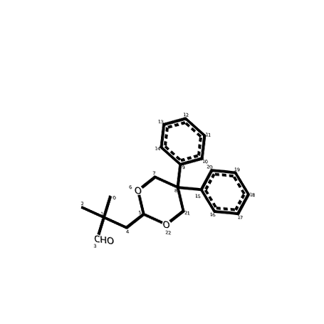 CC(C)(C=O)CC1OCC(c2ccccc2)(c2ccccc2)CO1